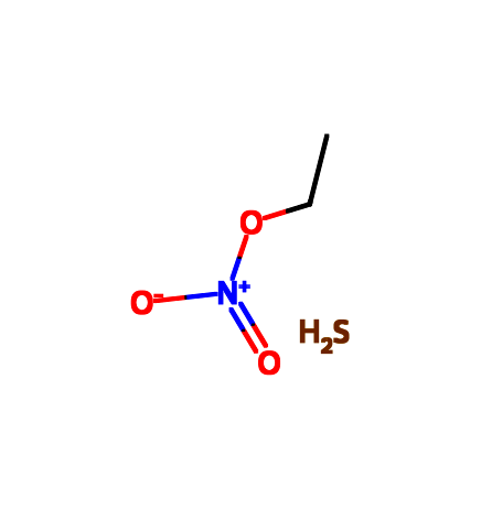 CCO[N+](=O)[O-].S